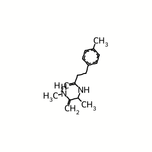 C=C(CCc1ccc(C)cc1)NC(C)C(=C)NC